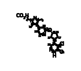 Cc1nn(CC(=O)O)c(C)c1-c1ccnc(O[C@@H]2CCN(c3cn[nH]c(=O)c3Cl)C2)c1